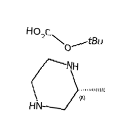 CC(C)(C)OC(=O)O.C[C@@H]1CNCCN1